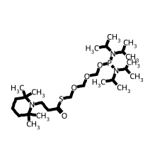 CC(C)N(C(C)C)P(OCOCOCSC(=O)CCN1C(C)(C)CCCC1(C)C)N(C(C)C)C(C)C